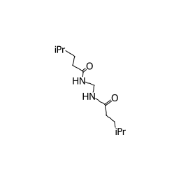 CC(C)CCC(=O)NCNC(=O)CCC(C)C